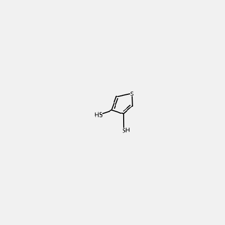 Sc1cscc1S